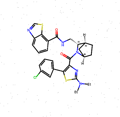 CCN(CC)c1nc(C(=O)N2[C@@H]3CC[C@@H](C3)[C@H]2CNC(=O)c2cccc3ncsc23)c(-c2cccc(Cl)c2)s1